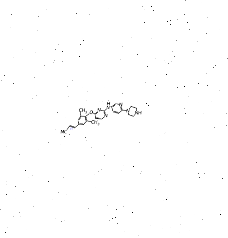 Cc1cc(/C=C/C#N)cc(C)c1Oc1ccnc(Nc2ccc(N3CCNCC3)nc2)n1